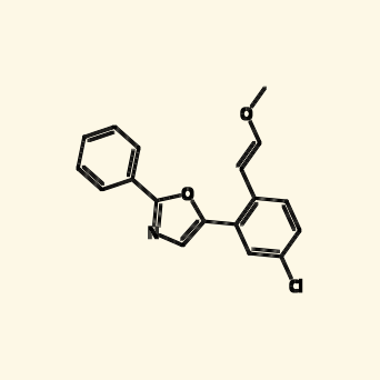 CO/C=C/c1ccc(Cl)cc1-c1cnc(-c2ccccc2)o1